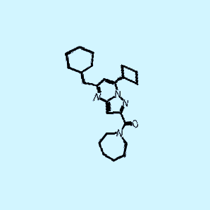 O=C(c1cc2nc(CC3CCCCC3)cc(C3CCC3)n2n1)N1CCCCCC1